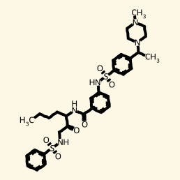 CCCCC(NC(=O)c1cccc(NS(=O)(=O)c2ccc(C(C)N3CCN(C)CC3)cc2)c1)C(=O)CNS(=O)(=O)c1ccccc1